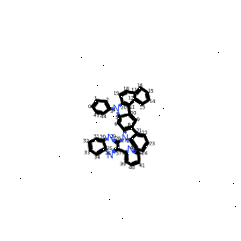 c1ccc(-n2c3cc4c(cc3c3c5ccccc5ccc32)c2ccccc2n4-c2nc3ccccc3nc2-c2ccccn2)cc1